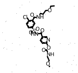 CCOCCCNC(=O)c1cc(S(=O)(=O)NC(=O)c2ccc(OC(=O)NCCOC)nc2)ccc1Cl